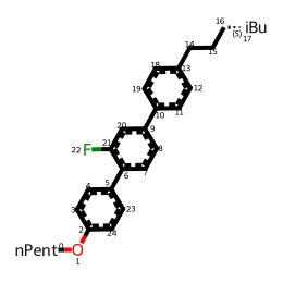 CCCCCOc1ccc(-c2ccc(-c3ccc(CCC[C@@H](C)CC)cc3)cc2F)cc1